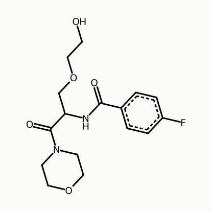 O=C(NC(COCCO)C(=O)N1CCOCC1)c1ccc(F)cc1